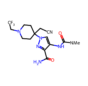 CNC(=O)Nc1cn(C2(CC#N)CCN(CC(F)(F)F)CC2)nc1C(N)=O